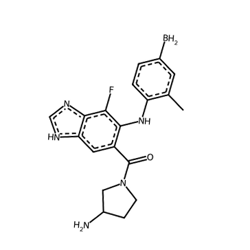 Bc1ccc(Nc2c(C(=O)N3CCC(N)C3)cc3[nH]cnc3c2F)c(C)c1